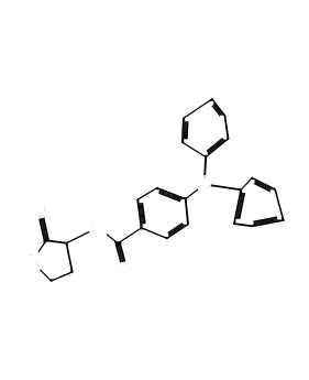 O=C(OC1CCOC1=O)c1ccc([S+](c2ccccc2)c2ccccc2)cc1